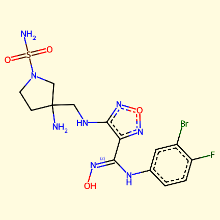 NC1(CNc2nonc2/C(=N/O)Nc2ccc(F)c(Br)c2)CCN(S(N)(=O)=O)C1